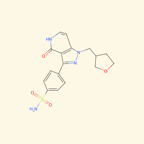 NS(=O)(=O)c1ccc(-c2nn(CC3CCOC3)c3cc[nH]c(=O)c23)cc1